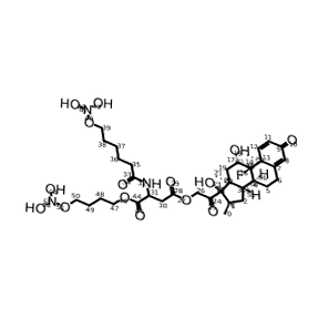 C[C@@H]1C[C@H]2[C@@H]3CCC4=CC(=O)C=C[C@]4(C)[C@@]3(F)[C@@H](O)C[C@]2(C)[C@@]1(O)C(=O)COC(=O)CC(NC(=O)CCCCCON(O)O)C(=O)OCCCCON(O)O